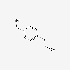 CC(C)Cc1ccc(CC[O])cc1